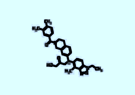 CCn1nnc2c(C)c([C@@H](CC(=O)CO)c3ccc4c(c3)CN(C(=O)c3ccc(C)c(C)c3)CC4)ccc21